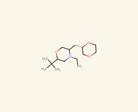 CCN1CC(C(C)(C)C)OCC1C[C@H]1COCCO1